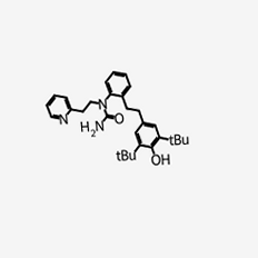 CC(C)(C)c1cc(CCc2ccccc2N(CCc2ccccn2)C(N)=O)cc(C(C)(C)C)c1O